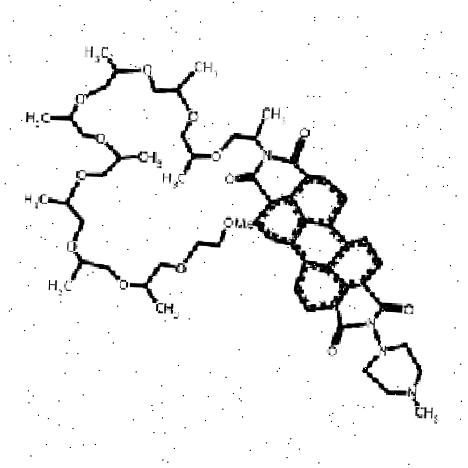 COCCOCC(C)OCC(C)OCC(C)OCC(C)OCC(C)OCC(C)OCC(C)OCC(C)OCC(C)N1C(=O)c2ccc3c4ccc5c6c(ccc(c7ccc(c2c37)C1=O)c64)C(=O)N(N1CCN(C)CC1)C5=O